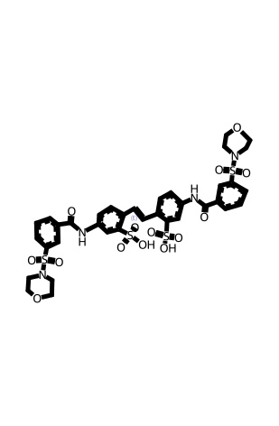 O=C(Nc1ccc(/C=C/c2ccc(NC(=O)c3cccc(S(=O)(=O)N4CCOCC4)c3)cc2S(=O)(=O)O)c(S(=O)(=O)O)c1)c1cccc(S(=O)(=O)N2CCOCC2)c1